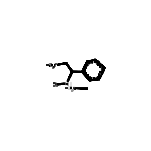 CCNC(CC(=O)O)c1ccccc1.CS(=O)(=O)O